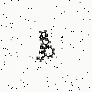 C=C1/C=C\C=C/CN(C2CCC3(CC2)OCCO3)C(=O)N1